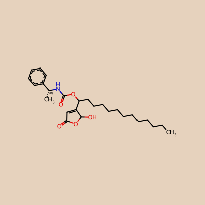 CCCCCCCCCCCCC(OC(=O)N[C@H](C)c1ccccc1)C1=CC(=O)OC1O